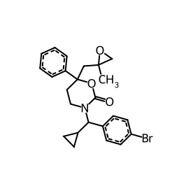 CC1(CC2(c3ccccc3)CCN(C(c3ccc(Br)cc3)C3CC3)C(=O)O2)CO1